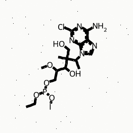 CCOP(OI)OCC(OC)C(O)C(C)(CO)C(C)n1cnc2c(N)nc(Cl)nc21